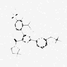 CC[C@@H](C)NS(=O)(=O)c1ccc(-c2sc(-c3cccc(CC(C)(C)C(=O)O)n3)nc2C(=O)N2CC(F)(F)C[C@@H]2C)c(C(F)F)c1F